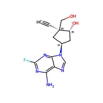 C#C[C@@]1(CO)C[C@H](n2cnc3c(N)nc(F)nc32)C[C@H]1O